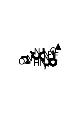 Cc1nc2c(C)nnc(N[C@H](C)c3cccc(C(F)(F)OC4CC4)c3)c2cc1N1CC2CC1CO2